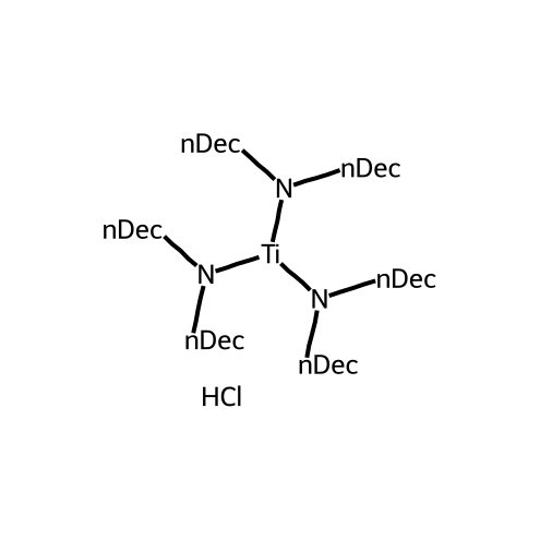 CCCCCCCCCC[N](CCCCCCCCCC)[Ti]([N](CCCCCCCCCC)CCCCCCCCCC)[N](CCCCCCCCCC)CCCCCCCCCC.Cl